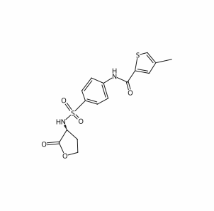 Cc1csc(C(=O)Nc2ccc(S(=O)(=O)N[C@H]3CCOC3=O)cc2)c1